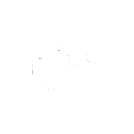 O=C(O)C1CCCN(C(=O)c2ccc(Cl)c(Cl)c2)C1